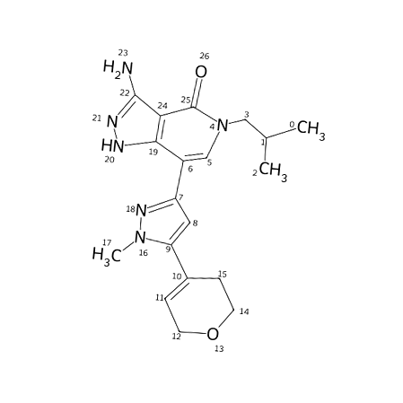 CC(C)Cn1cc(-c2cc(C3=CCOCC3)n(C)n2)c2[nH]nc(N)c2c1=O